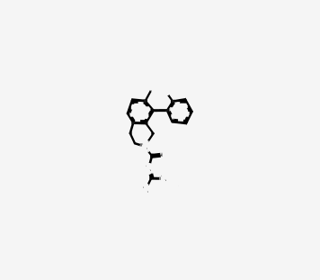 NC(N)=NC(=O)N1CCc2ccc(F)c(-c3ccccc3F)c2C1